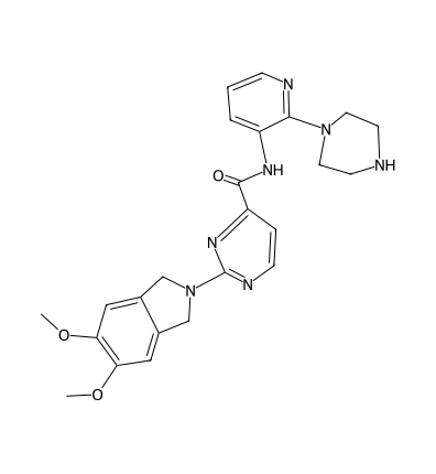 COc1cc2c(cc1OC)CN(c1nccc(C(=O)Nc3cccnc3N3CCNCC3)n1)C2